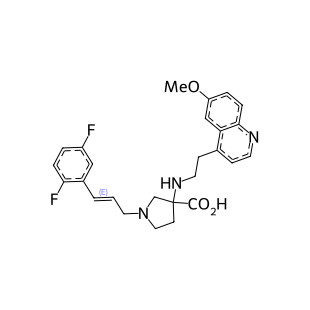 COc1ccc2nccc(CCNC3(C(=O)O)CCN(C/C=C/c4cc(F)ccc4F)C3)c2c1